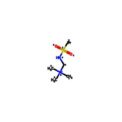 CC(C)S(=O)(=O)NC[N+](C)(C)C